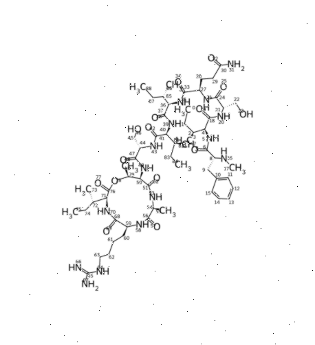 CC[C@H](C)[C@H](NC(=O)[C@@H](Cc1ccccc1)NC)C(=O)N[C@@H](CO)C(=O)N[C@H](CCC(N)=O)C(=O)N[C@@H](C(=O)N[C@H](C(=O)N[C@@H](CO)C(=O)N[C@H]1C(=O)N[C@@H](C)C(=O)N[C@@H](CCCCNC(=N)N)C(=O)N[C@@H]([C@@H](C)CC)C(=O)O[C@H]1C)[C@@H](C)CC)[C@@H](C)CC